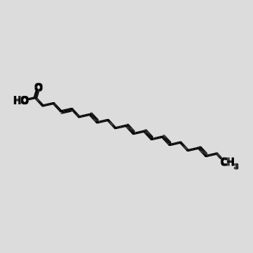 CC/C=C/CC/C=C/C=C/C=C/CC/C=C/C/C=C/CCC(=O)O